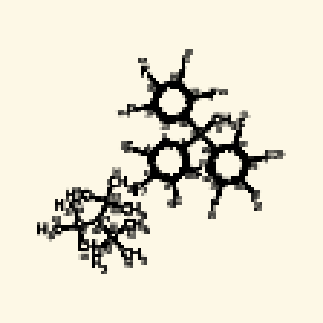 C[B-](c1cc(F)c(F)c(F)c1F)(c1cc(F)c(F)c(F)c1F)c1cc(F)c(F)c(F)c1F.C[Si](C)(C)[Si+]([Si](C)(C)C)[Si](C)(C)C